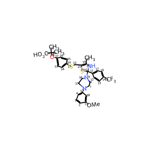 COc1cccc(N2CCN(C3(c4ccc(C(F)(F)F)cc4)NC(C)=C(CSc4ccc(OC(C)(C)C(=O)O)cc4)S3)CC2)c1